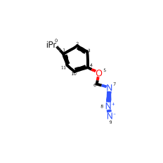 CC(C)c1ccc(OCN=[N+]=[N-])cc1